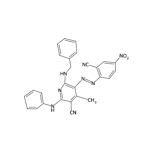 Cc1c(C#N)c(Nc2ccccc2)nc(NCc2ccccc2)c1N=Nc1ccc([N+](=O)[O-])cc1C#N